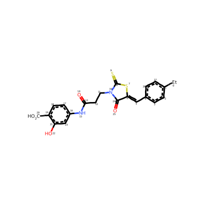 CCc1ccc(/C=C2\SC(=S)N(CCC(=O)Nc3ccc(C(=O)O)c(O)c3)C2=O)cc1